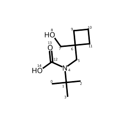 CC(C)(C)N(CC1(CO)CCC1)C(=O)O